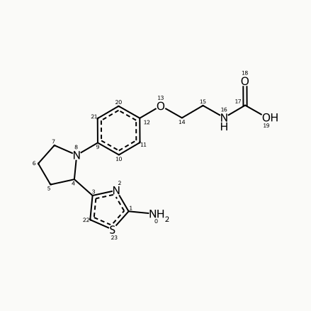 Nc1nc(C2CCCN2c2ccc(OCCNC(=O)O)cc2)cs1